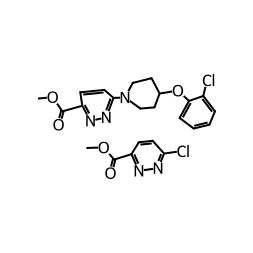 COC(=O)c1ccc(Cl)nn1.COC(=O)c1ccc(N2CCC(Oc3ccccc3Cl)CC2)nn1